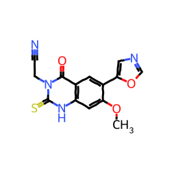 COc1cc2[nH]c(=S)n(CC#N)c(=O)c2cc1-c1cnco1